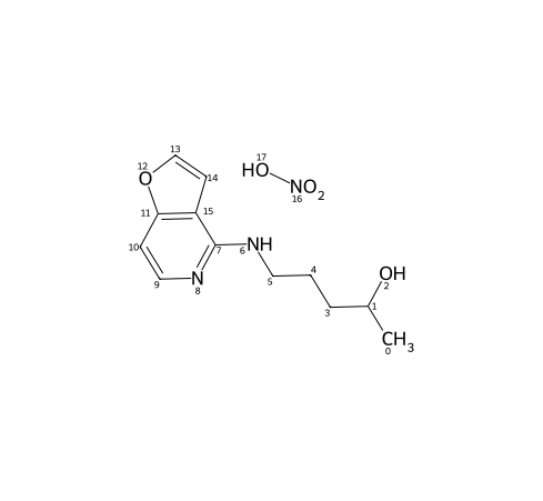 CC(O)CCCNc1nccc2occc12.O=[N+]([O-])O